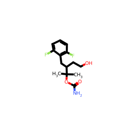 CC(C)(OC(N)=O)C(CCO)Cc1c(F)cccc1F